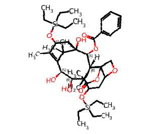 CC[Si](CC)(CC)OC1CC2OCC2(OC(C)=O)[C@H]2[C@H](OC(=O)c3ccccc3)C3(O)C[C@H](O[Si](CC)(CC)CC)C(C)=C([C@H](O)[C@H](O)C12C)C3(C)C